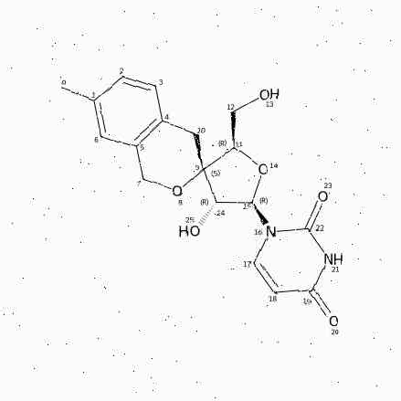 Cc1ccc2c(c1)CO[C@]1(C2)[C@@H](CO)O[C@@H](n2ccc(=O)[nH]c2=O)[C@@H]1O